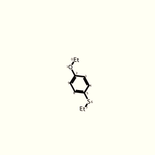 CCOc1ccc(SCC)cc1